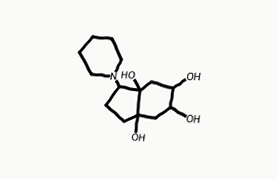 OC1CC2(O)CCC(N3CCCCC3)C2(O)CC1O